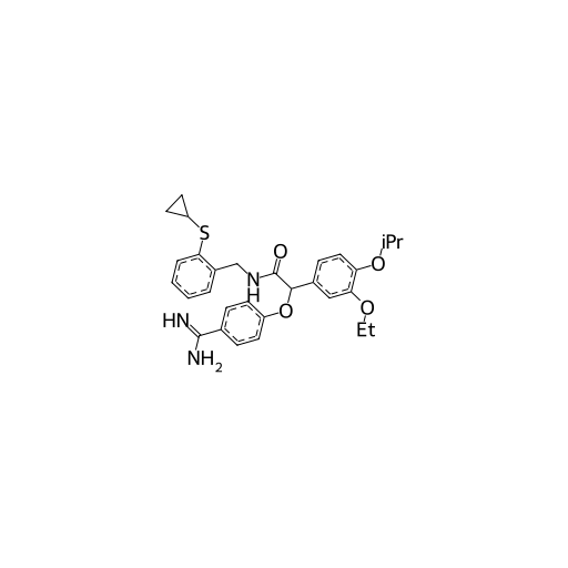 CCOc1cc(C(Oc2ccc(C(=N)N)cc2)C(=O)NCc2ccccc2SC2CC2)ccc1OC(C)C